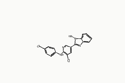 CCCn1c(-c2cnc(Nc3ccc(Cl)cc3)c(Cl)c2)nc2ccccc21